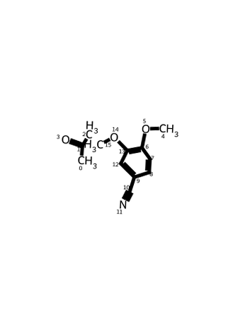 CC(C)=O.COc1ccc(C#N)cc1OC